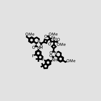 CCC(C(=O)OC)(C(=O)C(CC)(C(=O)OC)C1CC(C(=O)N2CCc3cc(COC)ccc3[C@@H]2C(=O)Nc2cc(F)c3c(c2)CCC3(C)C)C1)C1CC(C(=O)N2CCc3cc(COC)ccc3[C@@H]2C(=O)Nc2cc(F)c3c(c2)CCC3(C)C)C1